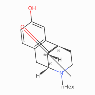 CCCCCCN1CC[C@]23CCC(=O)C[C@H]2[C@H]1Cc1ccc(O)cc13